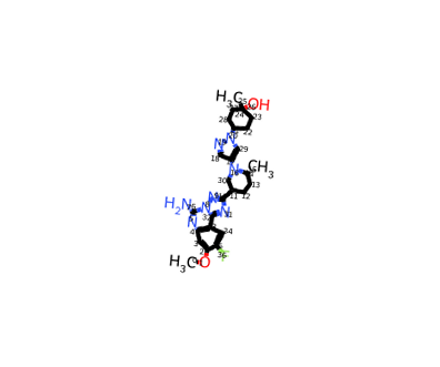 COc1cc2nc(N)n3nc(C4CCC(C)N(c5cnn(C6CCC(C)(O)CC6)c5)C4)nc3c2cc1F